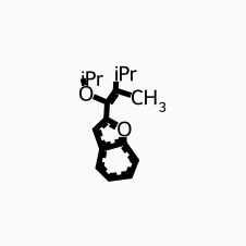 C/C(=C(/OC(C)C)c1cc2ccccc2o1)C(C)C